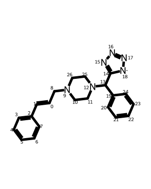 C(=Cc1ccccc1)CN1CCN(C(C2=NN=N[N]2)c2ccccc2)CC1